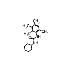 Cc1cc(C)c(NC(=O)NC2CCCCC2)c(C)c1C